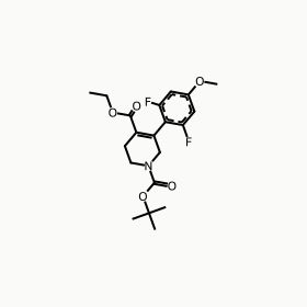 CCOC(=O)C1=C(c2c(F)cc(OC)cc2F)CN(C(=O)OC(C)(C)C)CC1